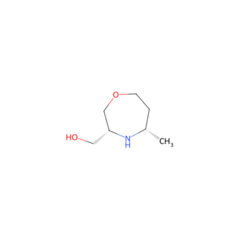 C[C@H]1CCOC[C@@H](CO)N1